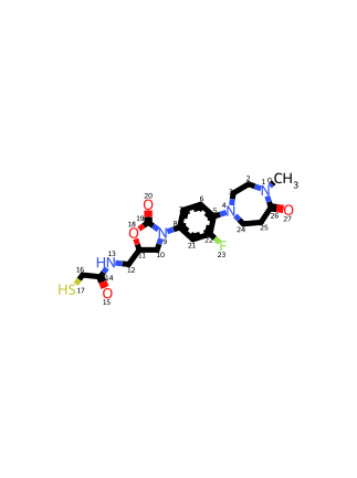 CN1CCN(c2ccc(N3CC(CNC(=O)CS)OC3=O)cc2F)CCC1=O